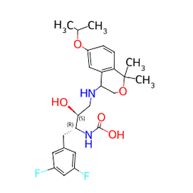 CC(C)Oc1ccc2c(c1)C(NC[C@H](O)[C@@H](Cc1cc(F)cc(F)c1)NC(=O)O)COC2(C)C